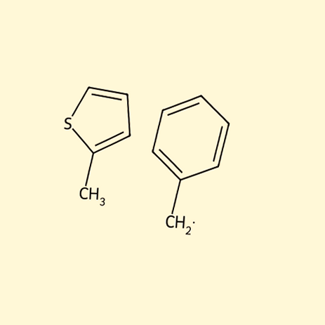 Cc1cccs1.[CH2]c1ccccc1